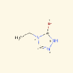 CCN1C=NNC1Br